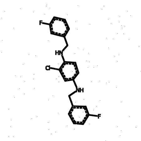 Fc1cccc(CNc2ccc(NCc3cccc(F)c3)c(Cl)c2)c1